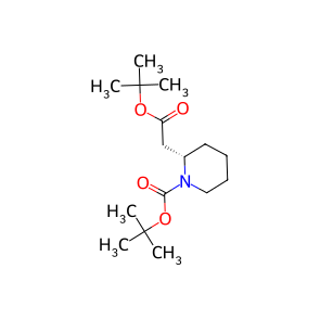 CC(C)(C)OC(=O)C[C@@H]1CCCCN1C(=O)OC(C)(C)C